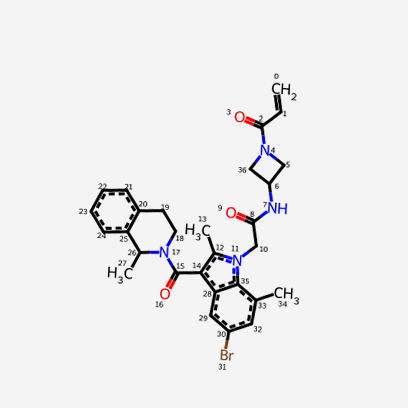 C=CC(=O)N1CC(NC(=O)Cn2c(C)c(C(=O)N3CCc4ccccc4C3C)c3cc(Br)cc(C)c32)C1